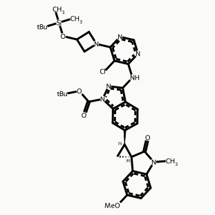 COc1ccc2c(c1)[C@]1(C[C@H]1c1ccc3c(Nc4ncnc(N5CC(O[Si](C)(C)C(C)(C)C)C5)c4Cl)nn(C(=O)OC(C)(C)C)c3c1)C(=O)N2C